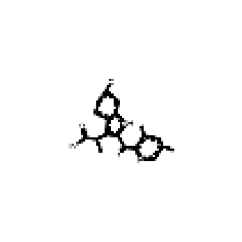 Cc1cnc(C(=O)c2[nH]c3cc(Cl)ccc3c2C(C)C(=O)O)c(C)c1